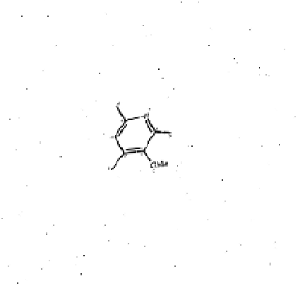 COc1c(C)cc(C)nc1C